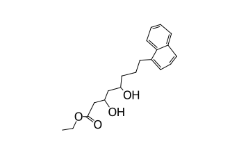 CCOC(=O)CC(O)CC(O)CCCc1cccc2ccccc12